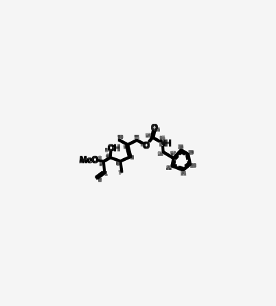 C=CC(OC)C(O)C(C)C=C(C)COC(=O)NCc1ccccc1